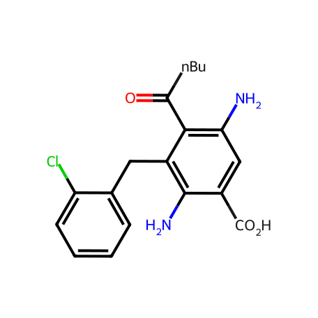 CCCCC(=O)c1c(N)cc(C(=O)O)c(N)c1Cc1ccccc1Cl